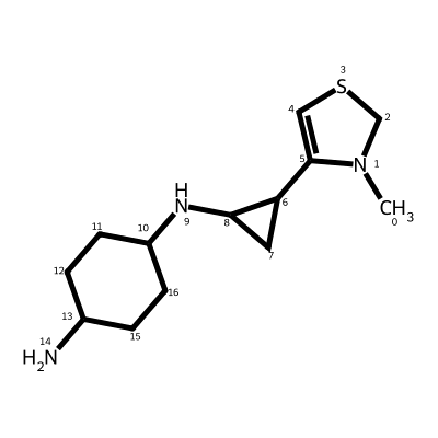 CN1CSC=C1C1CC1NC1CCC(N)CC1